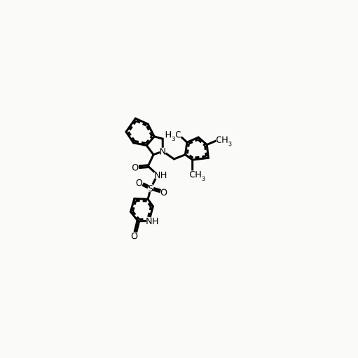 Cc1cc(C)c(CN2Cc3ccccc3C2C(=O)NS(=O)(=O)c2ccc(=O)[nH]c2)c(C)c1